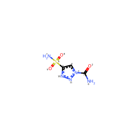 NC(=O)n1cc(S(N)(=O)=O)nn1